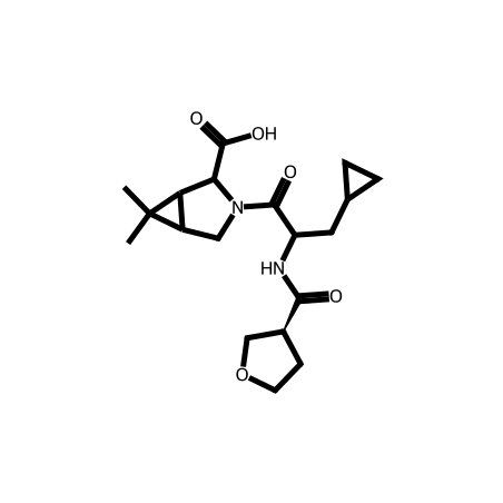 CC1(C)C2CN(C(=O)C(CC3CC3)NC(=O)[C@H]3CCOC3)C(C(=O)O)C21